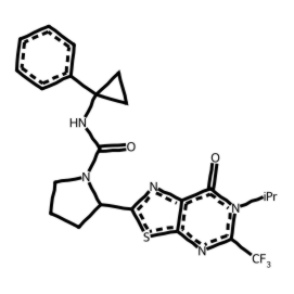 CC(C)n1c(C(F)(F)F)nc2sc(C3CCCN3C(=O)NC3(c4ccccc4)CC3)nc2c1=O